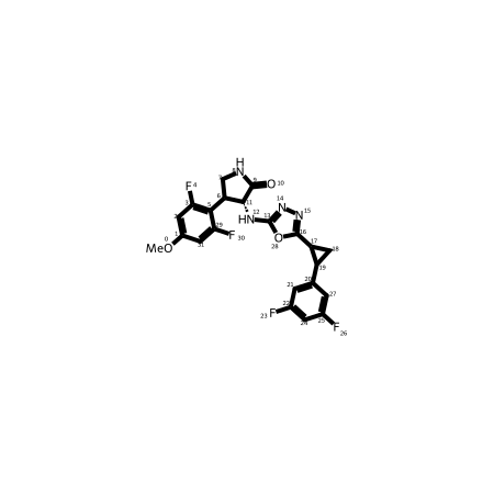 COc1cc(F)c(C2CNC(=O)[C@@H]2Nc2nnc(C3CC3c3cc(F)cc(F)c3)o2)c(F)c1